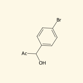 CC(=O)C(O)c1ccc(Br)cc1